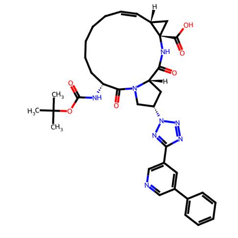 CC(C)(C)OC(=O)N[C@@H]1CCCCC/C=C\[C@@H]2C[C@]2(C(=O)O)NC(=O)[C@@H]2C[C@H](n3nnc(-c4cncc(-c5ccccc5)c4)n3)CN2C1=O